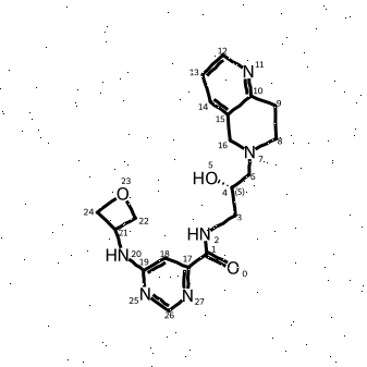 O=C(NC[C@H](O)CN1CCc2ncccc2C1)c1cc(NC2COC2)ncn1